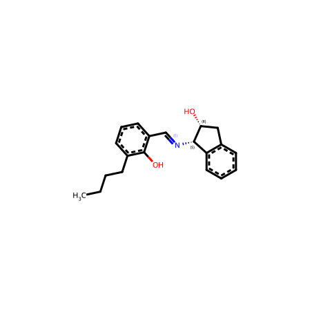 CCCCc1cccc(/C=N/[C@H]2c3ccccc3C[C@H]2O)c1O